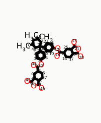 CC1CC(C)(C)CC(c2ccc(OC(=O)C3CCC4C(=O)OC(=O)C4C3)cc2)(c2ccc(OC(=O)C3CCC4C(=O)OC(=O)C4C3)cc2)C1